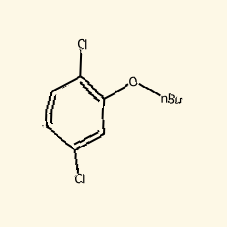 CCCCOc1cc(Cl)[c]cc1Cl